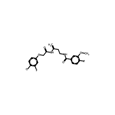 C=C(CCNC(=O)c1ccc(F)c(OC)c1)NC(=O)COc1ccc(Cl)c(F)c1